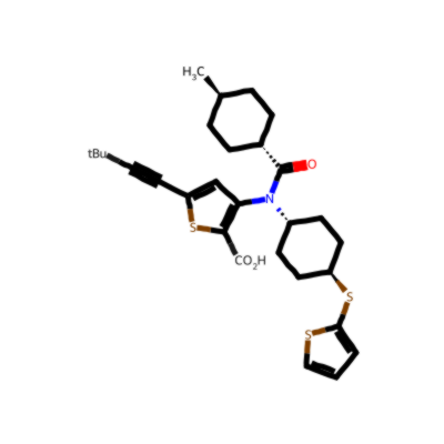 CC(C)(C)C#Cc1cc(N(C(=O)[C@H]2CC[C@H](C)CC2)[C@H]2CC[C@H](Sc3cccs3)CC2)c(C(=O)O)s1